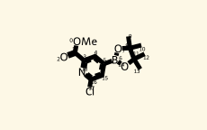 COC(=O)c1cc(B2OC(C)(C)C(C)(C)O2)cc(Cl)n1